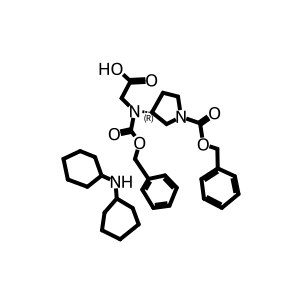 C1CCC(NC2CCCCC2)CC1.O=C(O)CN(C(=O)OCc1ccccc1)[C@@H]1CCN(C(=O)OCc2ccccc2)C1